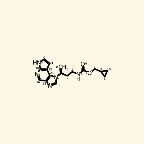 C=C(CCNC(=O)OCC1CC1)n1cnc2cnc3[nH]ccc3c21